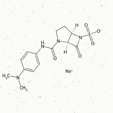 CN(C)c1ccc(NC(=O)N2CC[C@@H]3[C@H]2C(=O)N3S(=O)(=O)[O-])cc1.[Na+]